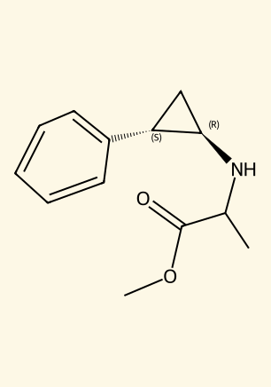 COC(=O)C(C)N[C@@H]1C[C@H]1c1ccccc1